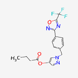 CCCC(=O)Oc1cnn(Cc2ccc(-c3noc(C(F)(F)F)n3)cc2)c1